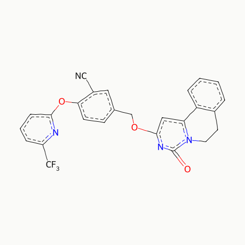 N#Cc1cc(COc2cc3n(c(=O)n2)CCc2ccccc2-3)ccc1Oc1cccc(C(F)(F)F)n1